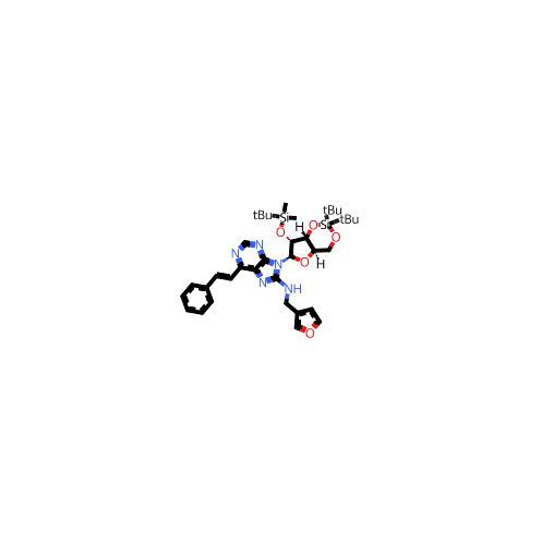 CC(C)(C)[Si](C)(C)O[C@@H]1[C@@H]2O[Si](C(C)(C)C)(C(C)(C)C)OC[C@H]2O[C@H]1n1c(NCc2ccoc2)nc2c(C=Cc3ccccc3)ncnc21